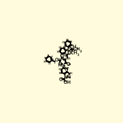 CN(C(=O)OCc1ccccc1)[C@H](CCO[Si](c1ccccc1)(c1ccccc1)C(C)(C)C)C(=O)Nc1ccc2c(cnn2C(=O)O)n1